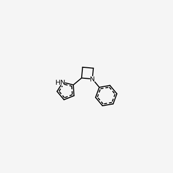 c1ccc(N2CCC2c2ccc[nH]2)cc1